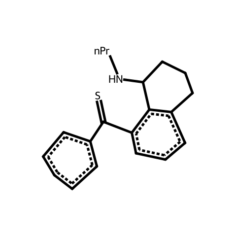 CCCNC1CCCc2cccc(C(=S)c3ccccc3)c21